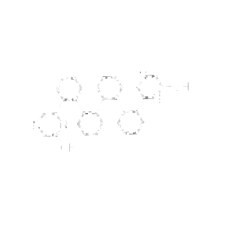 Cc1cncc(-c2ccccc2-c2ccccc2-c2ccccc2-c2ccccc2-c2cncc(C)n2)n1